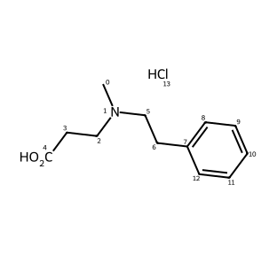 CN(CCC(=O)O)CCc1ccccc1.Cl